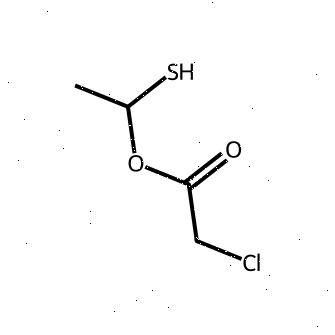 CC(S)OC(=O)CCl